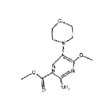 COC(=O)c1cc(N2CCOCC2)c(OC)nc1N